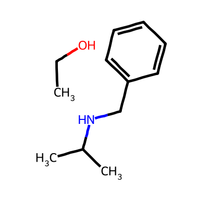 CC(C)NCc1ccccc1.CCO